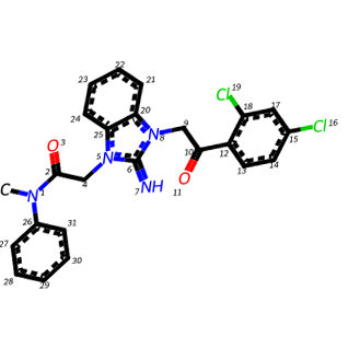 CN(C(=O)Cn1c(=N)n(CC(=O)c2ccc(Cl)cc2Cl)c2ccccc21)c1ccccc1